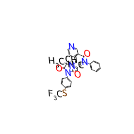 CN(C(=O)c1cnccc1CN1C(=O)N(c2ccc(SC(F)(F)F)cc2)C(=O)C1(C)C)c1ccccc1